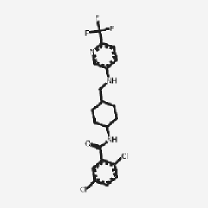 O=C(NC1CCC(CNc2ccc(C(F)(F)F)nc2)CC1)c1cc(Cl)ccc1Cl